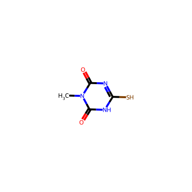 Cn1c(=O)nc(S)[nH]c1=O